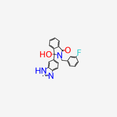 O=C1c2ccccc2C(O)(c2ccc3n[c][nH]c3c2)N1Cc1cccc(F)c1